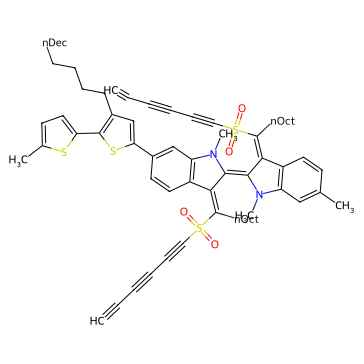 C#CC#CC#CS(=O)(=O)\C(CCCCCCCC)=c1/c(=c2/c(=C(\CCCCCCCC)S(=O)(=O)C#CC#CC#C)c3ccc(-c4cc(CCCCCCCCCCCCCC)c(-c5ccc(C)s5)s4)cc3n2C)n(C)c2cc(C)ccc12